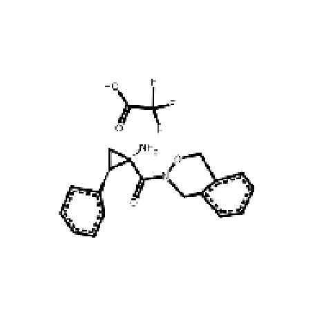 N[C@@]1(C(=O)N2Cc3ccccc3CO2)C[C@@H]1c1ccccc1.O=C(O)C(F)(F)F